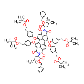 C=C(C)C(=O)OCCc1ccc(Oc2cc3c4c(cc(Oc5ccc(CCOC(=O)C(=C)C)cc5)c5c6c(Oc7ccc(CCOC(=O)C(=C)C)cc7)cc7c8c(cc(Oc9ccc(CCOC(=O)C(=C)C)cc9)c(c2c45)c86)C(=O)N(C(CC(C)C)C(=O)OCc2ccccc2)C7=O)C(=O)N(C(CC(C)C)C(=O)OCc2ccccc2)C3=O)cc1